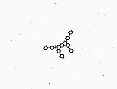 c1ccc(-c2ccc(N3Cc4cc5c(cc4-c4cc(-c6ccccc6)ccc43)-c3cc(-c4ccccc4)ccc3N(c3ccc(-c4ccccc4)cc3)C5)cc2)cc1